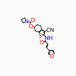 N#Cc1c(NC(=O)C=Cc2ccoc2)sc2c1CCC(OC(=O)N1CCC1)C2